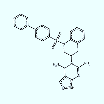 NC1=Nc2[nH]ncc2C(N)N1C1Cc2ccccc2N(S(=O)(=O)c2ccc(-c3ccccc3)cc2)C1